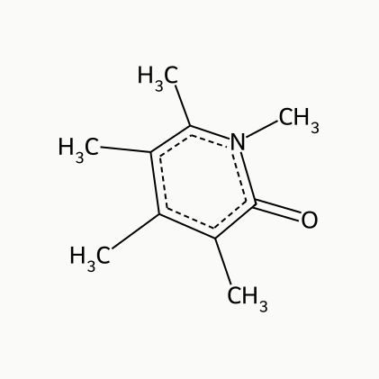 Cc1c(C)c(C)n(C)c(=O)c1C